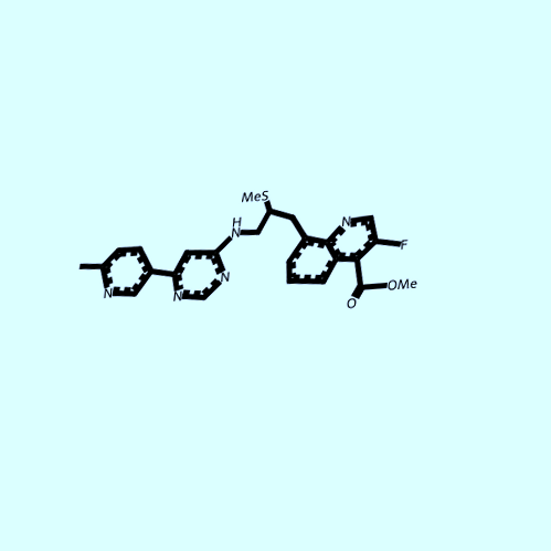 COC(=O)c1c(F)cnc2c(CC(CNc3cc(-c4ccc(C)nc4)ncn3)SC)cccc12